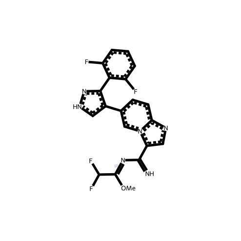 CO/C(=N\C(=N)c1cnc2ccc(-c3c[nH]nc3-c3c(F)cccc3F)cn12)C(F)F